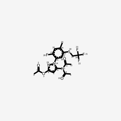 CC(=O)Oc1cc(N(C(C)=O)C(C)=O)n(-c2cc(SCC(F)(F)F)c(C)cc2F)n1